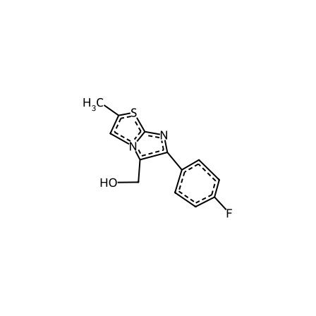 Cc1cn2c(CO)c(-c3ccc(F)cc3)nc2s1